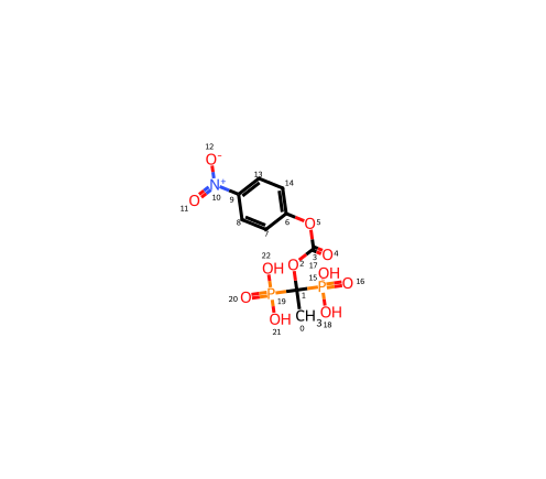 CC(OC(=O)Oc1ccc([N+](=O)[O-])cc1)(P(=O)(O)O)P(=O)(O)O